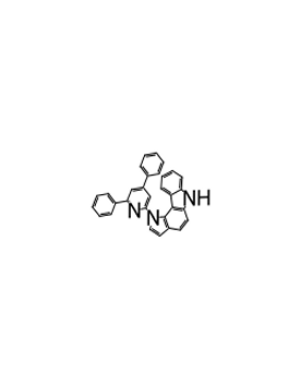 c1ccc(-c2cc(-c3ccccc3)nc(-n3ccc4ccc5[nH]c6ccccc6c5c43)c2)cc1